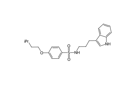 CC(C)CCOc1ccc(S(=O)(=O)NCCCc2c[nH]c3ccccc23)cc1